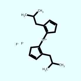 CC(C)CC1=[C]([Zr+2][C]2=C(CC(C)C)C=CC2)CC=C1.[F-].[F-]